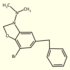 CN(C)N1COc2c(Br)cc(Cc3ccccc3)cc21